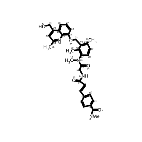 CNC(=O)c1ccc(C=CC(=O)NCC(=O)N(C)c2ccc(C)c(COc3cccc4c(CO)cc(C)nc34)c2C)cc1